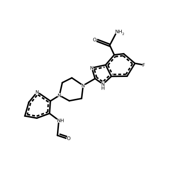 NC(=O)c1cc(F)cc2[nH]c(N3CCN(c4ncccc4NC=O)CC3)nc12